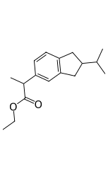 CCOC(=O)C(C)c1ccc2c(c1)CC(C(C)C)C2